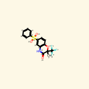 CC1(C(F)(F)F)Oc2ccc(S(=O)(=O)c3ccccc3)cc2NC1=O